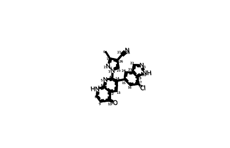 Cc1nn(-c2nc3[nH]ccc(=O)c3cc2-c2cc(Cl)c3[nH]ncc3c2)cc1C#N